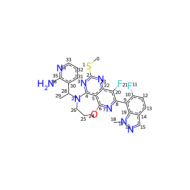 CSc1nc2c3c(nc(-c4c(F)ccc5cnn(C)c45)c(F)c3n1)OCCN2C(C)c1cccnc1N